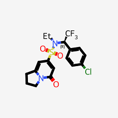 CCN([C@H](c1ccc(Cl)cc1)C(F)(F)F)S(=O)(=O)c1cc2n(c(=O)c1)CCC2